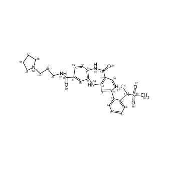 CN(c1ccccc1-c1ccc2c(c1)Nc1cc(C(=O)NCCCN3CCCC3)ccc1NC2=O)S(C)(=O)=O